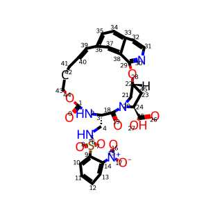 O=C1N[C@@H](CNS(=O)(=O)c2ccccc2[N+](=O)[O-])C(=O)N2C[C@@H](C[C@H]2C(=O)O)Oc2nccc3ccc(cc23)/C=C/CCCO1